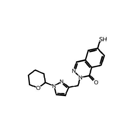 O=c1c2ccc(S)cc2cnn1Cc1ccn(C2CCCCO2)n1